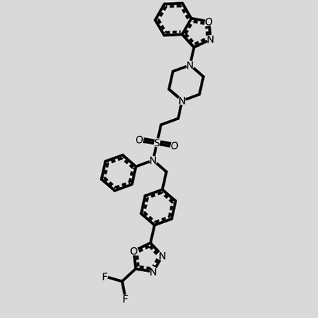 O=S(=O)(CCN1CCN(c2noc3ccccc23)CC1)N(Cc1ccc(-c2nnc(C(F)F)o2)cc1)c1ccccc1